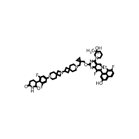 CCc1c(F)ccc2cc(O)cc(-c3ncc4c(N5CCC[C@@](C)(O)C5)nc(OCC5(CN6CCC7(CC6)CC(N6CC8(CCN(c9cc(F)c(C%10CCC(=O)NC%10=O)c(F)c9)CC8)C6)C7)CC5)nc4c3F)c12